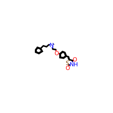 CN(CCCc1ccccc1)CCOc1ccc(/C=C2\SC(=O)NC2=O)cc1